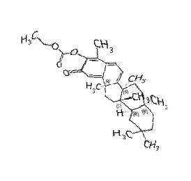 CCOC(=O)OC1=C(C)C2=CC=C3[C@@](C)(CC[C@@]4(C)[C@@H]5CC(C)(C)CC[C@]5(C)CC[C@]34C)C2=CC1=O